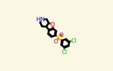 O=S(=O)(c1cc(Cl)cc(Cl)c1)c1ccc2c(c1)OC1CNCCC21